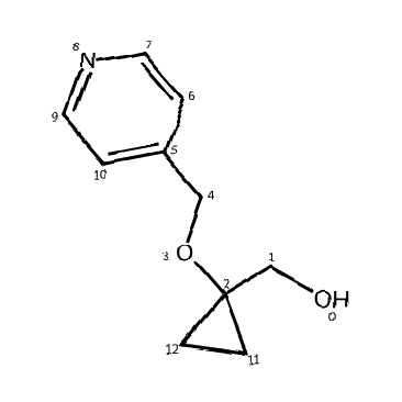 OCC1(OCc2ccncc2)CC1